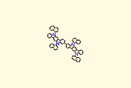 c1ccc2c(-n3c4ccccc4c4cc5c(cc43)c3ccc(-c4ccc6c7cc8c(cc7n(-c7cccc9ccccc79)c6c4)c4ccccc4n8-c4cccc6ccccc46)cc3n5-c3cccc4ccccc34)cccc2c1